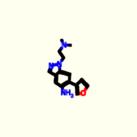 CN(C)CCn1ncc2cc(N)c(-c3ccoc3)cc21